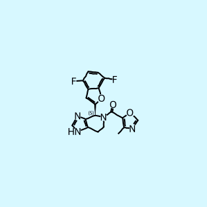 Cc1ncoc1C(=O)N1CCc2[nH]cnc2[C@H]1c1cc2c(F)ccc(F)c2o1